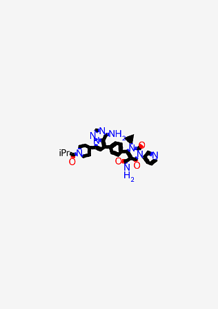 CC(C)C(=O)N1CCC(c2cc(-c3ccc(-c4c(C(N)=O)c(=O)n(-c5cccnc5)c(=O)n4C4CC4)cc3)c3c(N)ncnn23)CC1